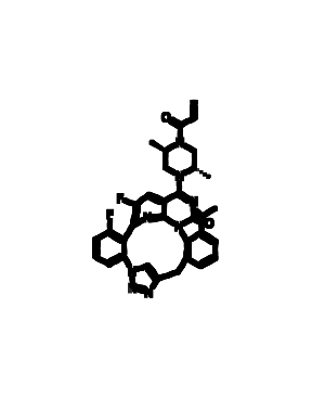 C=CC(=O)N1C[C@H](C)N(c2nc(=O)n3c4nc(c(F)cc24)-c2c(F)cccc2-n2cc(nn2)Cc2cccc(C(C)C)c2-3)C[C@H]1C